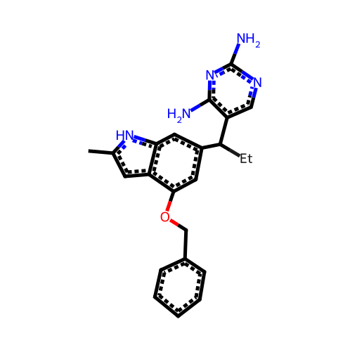 CCC(c1cc(OCc2ccccc2)c2cc(C)[nH]c2c1)c1cnc(N)nc1N